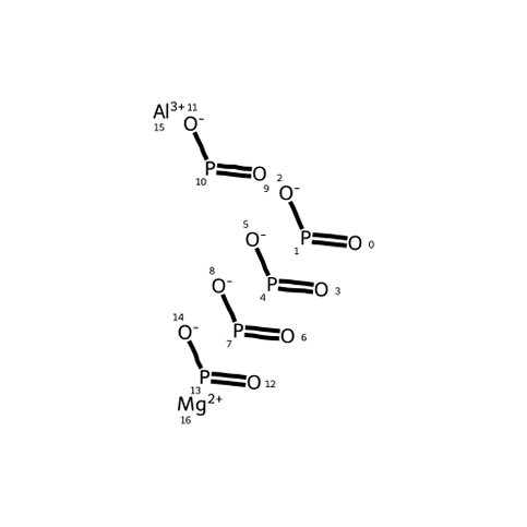 O=P[O-].O=P[O-].O=P[O-].O=P[O-].O=P[O-].[Al+3].[Mg+2]